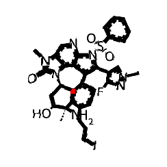 Cn1cc(-c2c(-c3ccc(CCCI)cc3)c3c(ncc4c3n([C@H]3CC[C@@](C)(N)[C@H](O)C3)c(=O)n4C)n2S(=O)(=O)c2ccccc2)c(F)n1